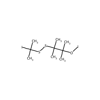 CC(C)(I)SSC(C)(C)C(C)(C)OI